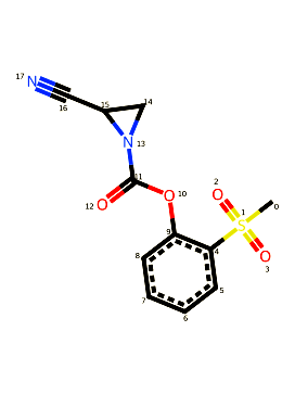 CS(=O)(=O)c1ccccc1OC(=O)N1CC1C#N